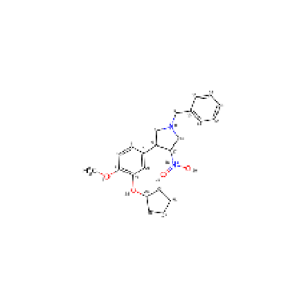 COc1ccc(C2CN(Cc3ccccc3)CC2[N+](=O)[O-])cc1OC1CCCC1